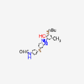 CCCCSc1cc(C)cc(-n2nc3ccc(Sc4ccc(NC=O)cc4)cc3n2)c1O